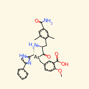 COc1ccc(C[As](C(=O)[C@@H](N)Cc2c(C)cc(C(N)=O)cc2C)[C@@H](C)c2nc(-c3ccccc3)c[nH]2)cc1C(=O)O